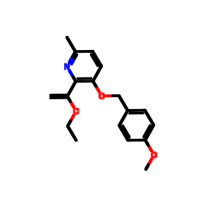 C=C(OCC)c1nc(C)ccc1OCc1ccc(OC)cc1